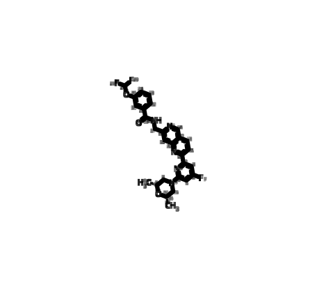 C[C@@H]1CN(c2cc(F)cc(-c3ccc4cnc(CNC(=O)c5cccc(OC(F)F)c5)cc4n3)n2)C[C@H](C)O1